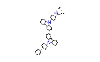 C#C/C=C(\CC(C)C)c1ccc(-n2c3ccccc3c3cc(-c4ccc5c(c4)c4ccccc4n5-c4ccc(-c5ccccc5)cc4)ccc32)cc1